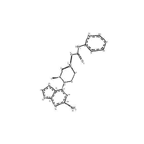 C[C@H]1CN(OC(=O)Nc2ccccn2)CCN1c1nc(N)nc2scnc12